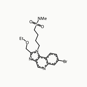 CCOCc1nc2cnc3cc(Br)ccc3c2n1CCCCS(=O)(=O)NC